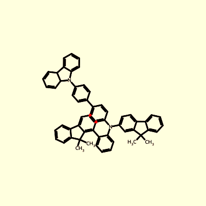 CC1(C)c2ccccc2-c2ccc(N(c3ccc(-c4ccc(N5c6ccccc6C6C=CC=CC65)cc4)cc3)c3ccccc3-c3cccc4c3C(C)(C)c3ccccc3-4)cc21